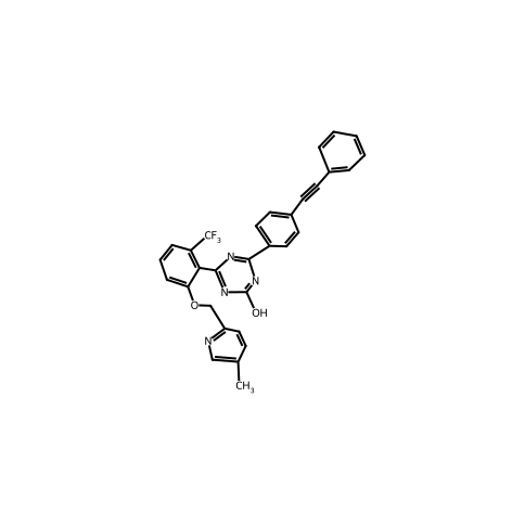 Cc1ccc(COc2cccc(C(F)(F)F)c2-c2nc(O)nc(-c3ccc(C#Cc4ccccc4)cc3)n2)nc1